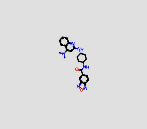 CN(C)c1cc(N[C@H]2CC[C@@H](NC(=O)c3ccc4nonc4c3)CC2)nc2ccccc12